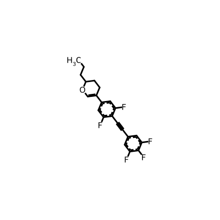 CCCC1CCC(c2cc(F)c(C#Cc3cc(F)c(F)c(F)c3)c(F)c2)=CO1